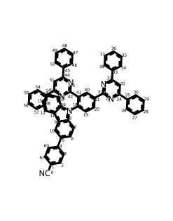 N#Cc1ccc(-c2ccc3c(c2)c2ccccc2n3-c2ccc(-c3nc(-c4ccccc4)cc(-c4ccccc4)n3)cc2-c2nc(-c3ccccc3)cc(-c3ccccc3)n2)cc1